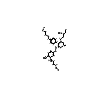 CC[C@@H](O)CO[C@@H]1CNC[C@H](OCc2ccc(O)c(NCCCOC)c2)[C@H]1c1ccc(COCCOC)cc1